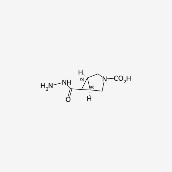 NNC(=O)C1[C@H]2CN(C(=O)O)C[C@@H]12